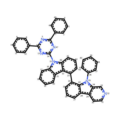 c1ccc(-c2nc(-c3ccccc3)nc(-n3c4ccccc4c4c(-c5cccc6c7ccncc7n(-c7ccccc7)c56)cccc43)n2)cc1